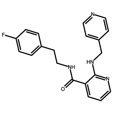 O=C(NCCc1ccc(F)cc1)c1cccnc1NCc1ccncc1